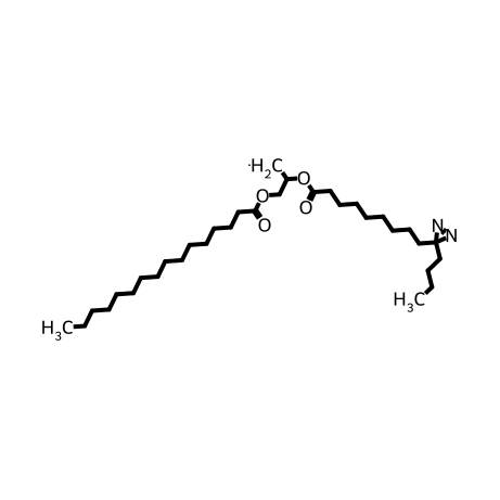 [CH2]C(COC(=O)CCCCCCCCCCCCCCC)OC(=O)CCCCCCCCC1(CCCC)N=N1